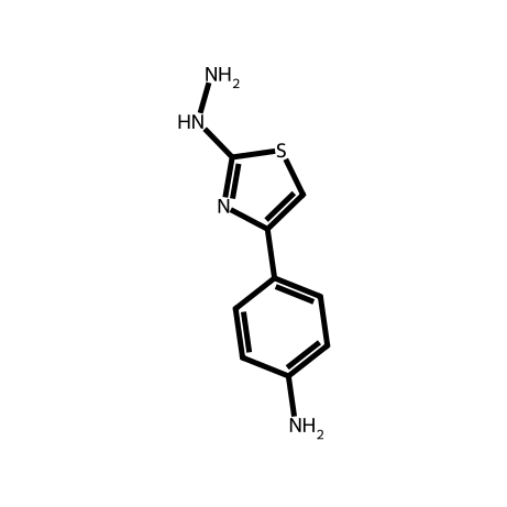 NNc1nc(-c2ccc(N)cc2)cs1